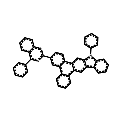 c1ccc(-c2nc(-c3ccc4c(c3)c3ccccc3c3cc5c6ccccc6n(-c6ccccc6)c5cc43)nc3ccccc23)cc1